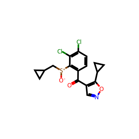 O=C(c1cnoc1C1CC1)c1ccc(Cl)c(Cl)c1[S+]([O-])CC1CC1